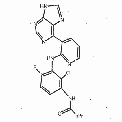 CCCC(=O)Nc1ccc(F)c(Nc2ncccc2-c2ncnc3[nH]cnc23)c1Cl